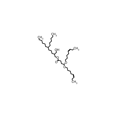 C[CH]CCCCC(CCCCCC)CCCC(CO)COC(=O)CCC(OCCCC/C=C\CC)OCCCC/C=C\CC